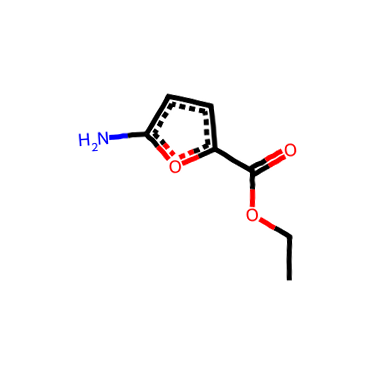 CCOC(=O)c1ccc(N)o1